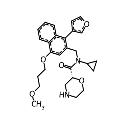 COCCCOc1cc(CN(C(=O)[C@H]2CNCCO2)C2CC2)c(-c2ccoc2)c2ccccc12